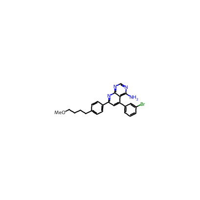 COCCCCc1ccc(-c2cc(-c3cccc(Br)c3)c3c(N)ncnc3n2)cc1